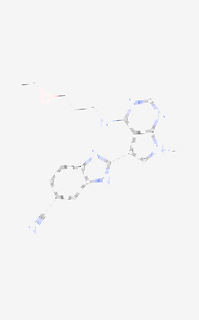 CCOCCCNc1ncnc2c1c(-c1nc3ccc(C#N)cc3[nH]1)cn2C